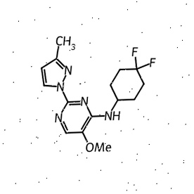 COc1cnc(-n2ccc(C)n2)nc1NC1CCC(F)(F)CC1